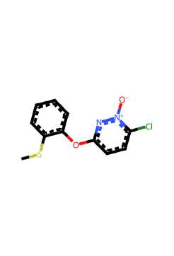 CSc1ccccc1Oc1ccc(Cl)[n+]([O-])n1